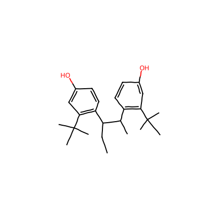 CCC(c1ccc(O)cc1C(C)(C)C)C(C)c1ccc(O)cc1C(C)(C)C